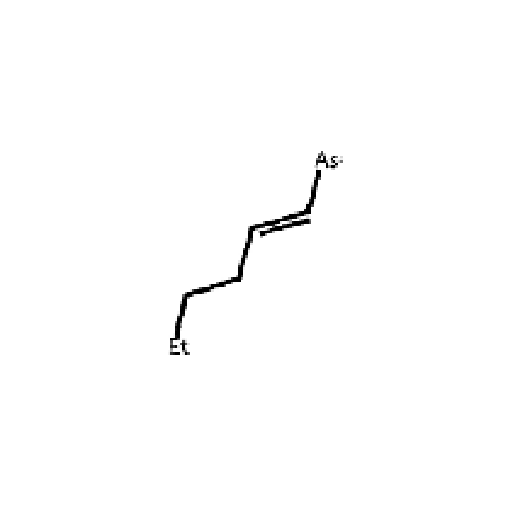 CCCC/C=C/[As]